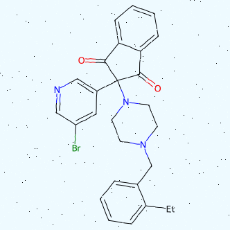 CCc1ccccc1CN1CCN(C2(c3cncc(Br)c3)C(=O)c3ccccc3C2=O)CC1